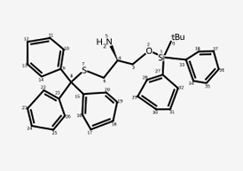 CC(C)(C)[Si](OC[C@H](N)CSC(c1ccccc1)(c1ccccc1)c1ccccc1)(c1ccccc1)c1ccccc1